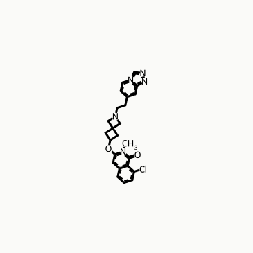 Cn1c(OC2CC3(C2)CN(CCc2ccn4cnnc4c2)C3)cc2cccc(Cl)c2c1=O